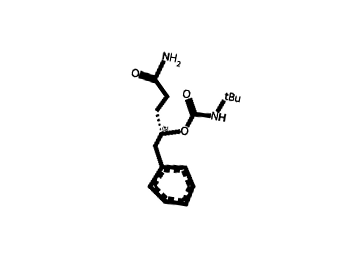 CC(C)(C)NC(=O)O[C@@H](CCC(N)=O)Cc1ccccc1